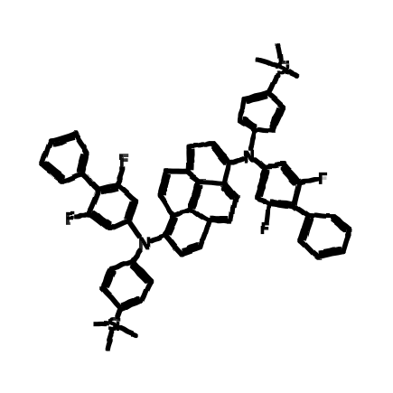 C[Si](C)(C)c1ccc(N(c2cc(F)c(-c3ccccc3)c(F)c2)c2ccc3ccc4c(N(c5ccc([Si](C)(C)C)cc5)c5cc(F)c(-c6ccccc6)c(F)c5)ccc5ccc2c3c54)cc1